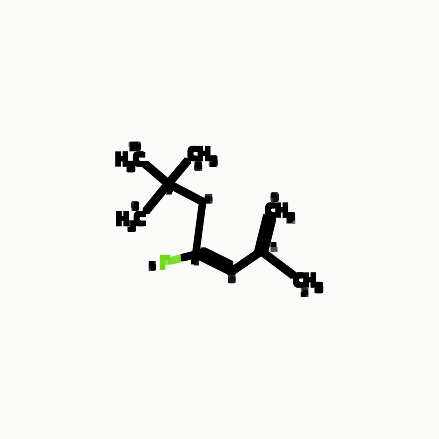 C=C(C)/C=C(/F)CC(C)(C)C